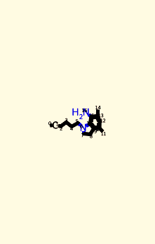 CCCCCCN1CCc2c(C)cc(C)c(N)c21